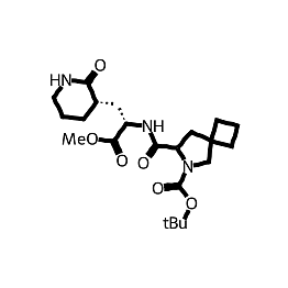 COC(=O)[C@H](C[C@@H]1CCCNC1=O)NC(=O)C1CC2(CCC2)CN1C(=O)OC(C)(C)C